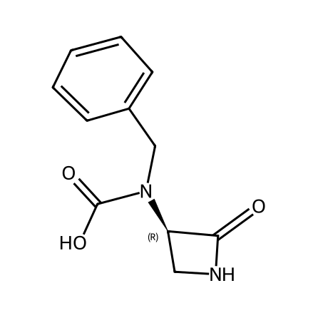 O=C1NC[C@H]1N(Cc1ccccc1)C(=O)O